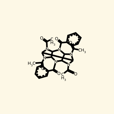 CC(=O)N1C2C3N(C(C)=O)C4C(N3C(C)=O)N(C(=O)c3ccccc3)C(C1N4C(=O)c1ccccc1)N2C(C)=O